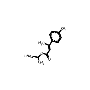 CCCCCCC(C)OC(=O)C=C(C)c1ccc(O)cc1